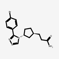 NC(=O)CC[C@@H]1CC[C@@H](n2cnnc2-c2ccc(Br)cc2)C1